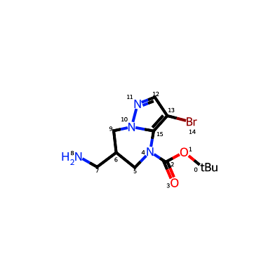 CC(C)(C)OC(=O)N1CC(CN)Cn2ncc(Br)c21